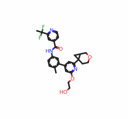 Cc1ccc(NC(=O)c2ccnc(C(C)(F)F)c2)cc1-c1cc(OCCO)nc(C23CCOCC2C3)c1